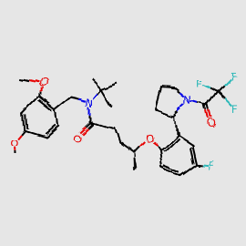 COc1ccc(CN(C(=O)CC[C@H](C)Oc2ccc(F)cc2[C@H]2CCCN2C(=O)C(F)(F)F)C(C)(C)C)c(OC)c1